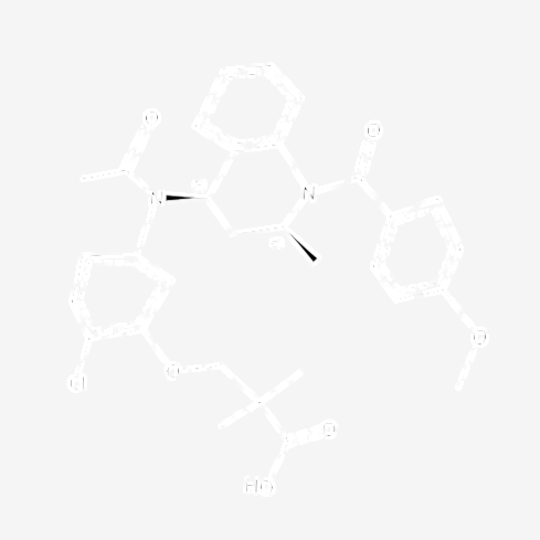 COc1ccc(C(=O)N2c3ccccc3[C@H](N(C(C)=O)c3ccc(Cl)c(OCC(C)(C)C(=O)O)c3)C[C@@H]2C)cc1